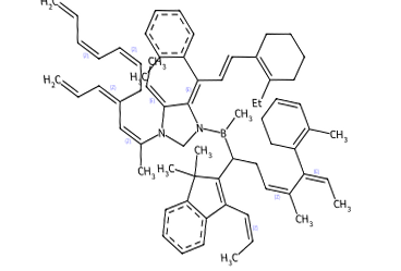 C=C/C=C\C=C/CC(=C/C=C)/C=C(/C)N1CN(B(C)C(C/C=C(C)\C(=C/C)C2=C(C)C=CCC2)C2=C(/C=C\C)c3ccccc3C2(C)C)C(=C(\C=CC2=C(CC)CCCC2)c2ccccc2C)/C1=C\C